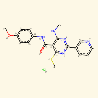 CNc1nc(-c2cccnc2)nc(SC)c1C(=O)Nc1ccc(OC)cc1.Cl